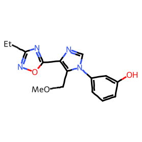 CCc1noc(-c2ncn(-c3cccc(O)c3)c2COC)n1